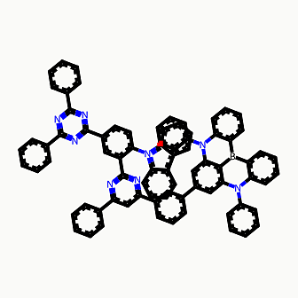 c1ccc(-c2cc(-c3cccc(-c4cc5c6c(c4)N(c4ccccc4)c4ccccc4B6c4ccccc4N5c4ccccc4)c3)nc(-c3cc(-c4nc(-c5ccccc5)nc(-c5ccccc5)n4)ccc3-n3c4ccccc4c4ccccc43)n2)cc1